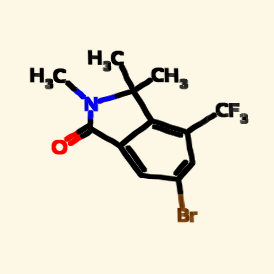 CN1C(=O)c2cc(Br)cc(C(F)(F)F)c2C1(C)C